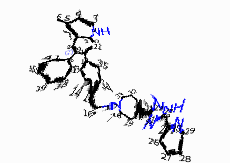 C=C1NC=CC(C)=C1/C=C(\C(=C)c1ccc(CN2CCC(c3n[nH]c(-c4ccccn4)n3)CC2)cc1)c1ccccc1